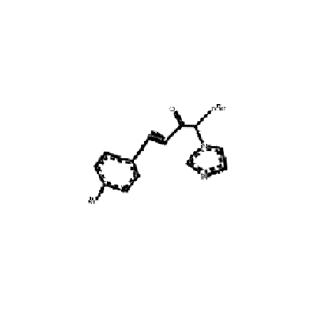 CCCCC(C(=O)C=Cc1ccc(Br)cc1)n1ccnc1